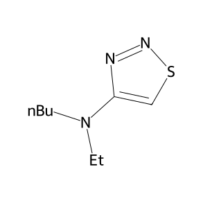 CCCCN(CC)c1csnn1